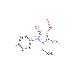 CCn1c(C)c(C=O)c(=O)n1-c1ccccc1